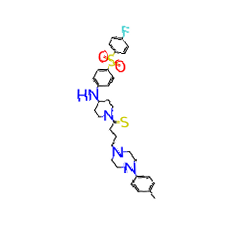 Cc1ccc(N2CCN(CCCC(=S)N3CCC(Nc4ccc(S(=O)(=O)c5ccc(F)cc5)cc4)CC3)CC2)cc1